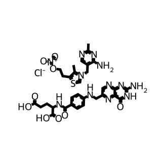 Cc1ncc(C[n+]2csc(CCO[N+](=O)[O-])c2C)c(N)n1.Nc1nc2ncc(CNc3ccc(C(=O)NC(CCC(=O)O)C(=O)O)cc3)nc2c(=O)[nH]1.[Cl-]